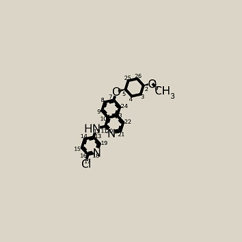 CO[C@H]1CC[C@@H](Oc2ccc3c(Nc4ccc(Cl)nc4)nccc3c2)CC1